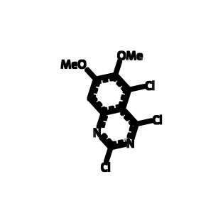 COc1cc2nc(Cl)nc(Cl)c2c(Cl)c1OC